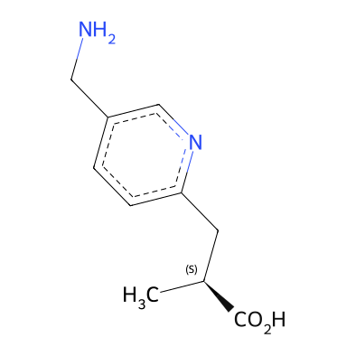 C[C@@H](Cc1ccc(CN)cn1)C(=O)O